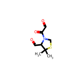 CC1(C)SCN(C(=O)C=O)C1C=O